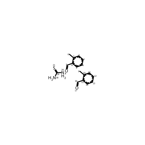 Cc1ccccc1C=O.Cc1ccccc1C=O.NC(N)=S